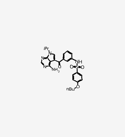 CCCCOc1ccc(S(=O)(=O)Nc2cccc(C(=O)c3cn(C(C)C)c4ncnc(N)c34)c2)cc1